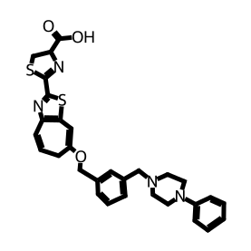 O=C(O)C1CSC(c2nc3c(s2)C=C(OCc2cccc(CN4CCN(c5ccccc5)CC4)c2)CC=C3)=N1